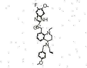 C=CCN(Cc1ccc(OC)cc1)C1CCN(CC)c2c(C[S+]([O-])c3nc4cc(F)c(OC)cc4[nH]3)cccc21